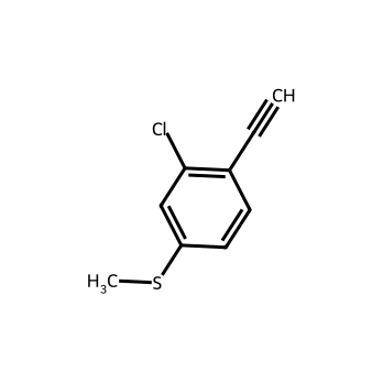 C#Cc1ccc(SC)cc1Cl